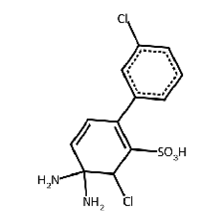 NC1(N)C=CC(c2cccc(Cl)c2)=C(S(=O)(=O)O)C1Cl